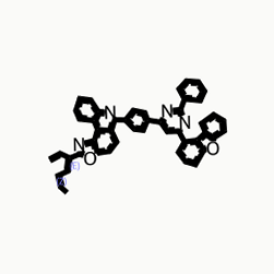 C=C/C(=C\C=C/C)c1nc2c(ccc3c(-c4ccc(-c5cc(-c6cccc7oc8ccccc8c67)nc(-c6ccccc6)n5)cc4)nc4ccccc4c32)o1